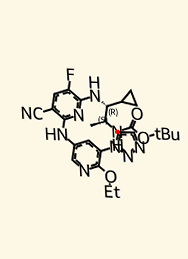 CCOc1ncc(Nc2nc(N[C@H](C3CC3)[C@H](C)NC(=O)OC(C)(C)C)c(F)cc2C#N)cc1-n1ccnn1